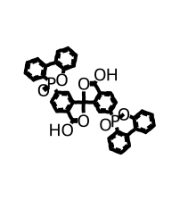 CC(C)(c1cc(P2(=O)Oc3ccccc3-c3ccccc32)ccc1C(=O)O)c1cc(P2(=O)Oc3ccccc3-c3ccccc32)ccc1C(=O)O